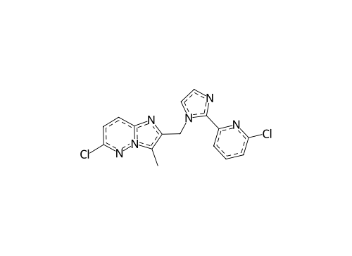 Cc1c(Cn2ccnc2-c2cccc(Cl)n2)nc2ccc(Cl)nn12